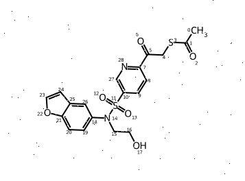 CC(=O)SCC(=O)c1ccc(S(=O)(=O)N(CCO)c2ccc3occc3c2)cn1